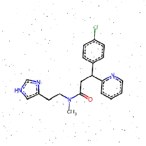 CN(CCc1c[nH]cn1)C(=O)CC(c1ccc(Cl)cc1)c1ccccn1